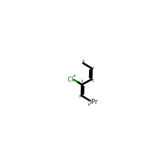 C/C=C\C(Cl)=C/C(C)C